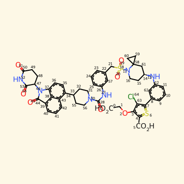 O=C(O)COc1c(C(=O)O)sc(-c2cccc(N[C@H]3CCN(S(=O)(=O)Cc4cccc(NC(=O)N5CCC(c6ccc7c8c(cccc68)C(=O)N7C6CCC(=O)NC6=O)CC5)c4)C4(CC4)C3)c2)c1Cl